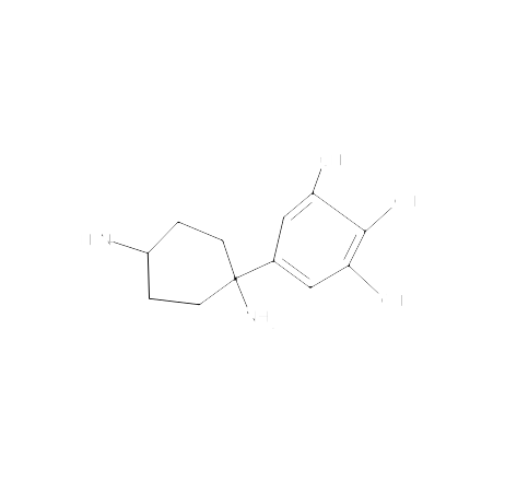 Cc1cc(C2(N)CCC(N)CC2)cc(C)c1C